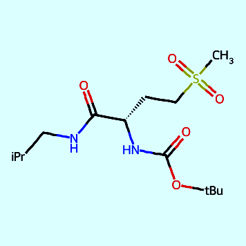 CC(C)CNC(=O)[C@H](CCS(C)(=O)=O)NC(=O)OC(C)(C)C